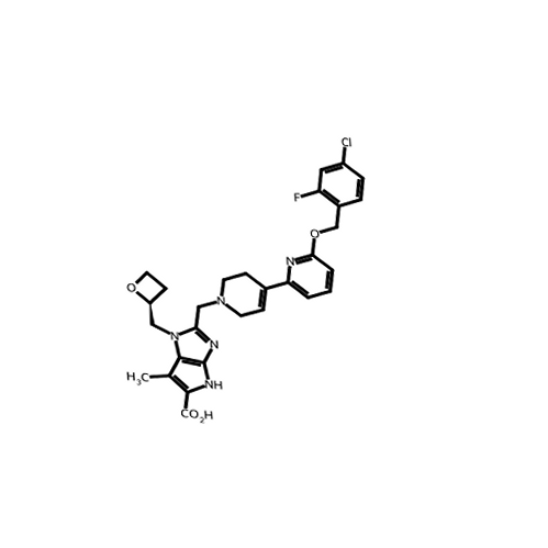 Cc1c(C(=O)O)[nH]c2nc(CN3CC=C(c4cccc(OCc5ccc(Cl)cc5F)n4)CC3)n(C[C@@H]3CCO3)c12